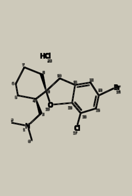 CN(C)C[C@H]1CCCC[C@]12Cc1cc(Br)cc(Cl)c1O2.Cl